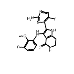 COc1c(F)cccc1Nc1c(-c2nc(N)ncc2F)[nH]c2c1C(=O)NCC2